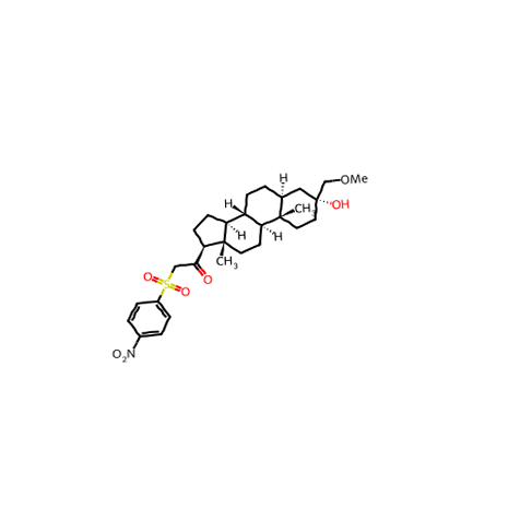 COC[C@@]1(O)CC[C@@]2(C)[C@@H](CC[C@@H]3[C@@H]2CC[C@]2(C)[C@@H](C(=O)CS(=O)(=O)c4ccc([N+](=O)[O-])cc4)CC[C@@H]32)C1